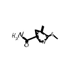 CSc1ncc(C(N)=O)cc1C